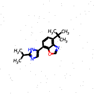 CC(C)c1ncc(-c2ccc(C(C)(C)C)c3ncoc23)[nH]1